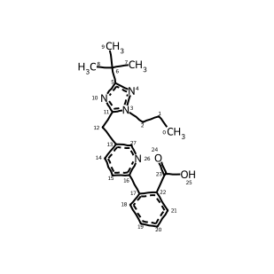 CCCn1nc(C(C)(C)C)nc1Cc1ccc(-c2ccccc2C(=O)O)nc1